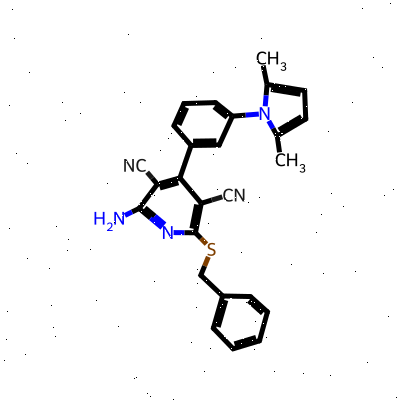 Cc1ccc(C)n1-c1cccc(-c2c(C#N)c(N)nc(SCc3ccccc3)c2C#N)c1